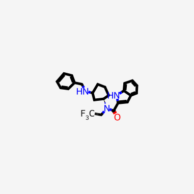 O=C(c1cc2ccccc2[nH]1)N(CC(F)(F)F)[C@H]1CCCC(NCc2ccccc2)C1